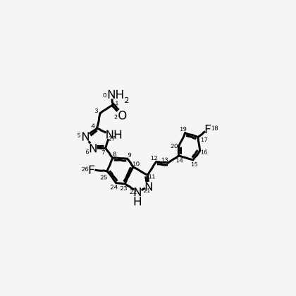 NC(=O)Cc1nnc(-c2cc3c(C=Cc4ccc(F)cc4)n[nH]c3cc2F)[nH]1